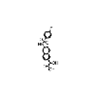 O=C(O)C(O)c1ccc2c(c1)CCC(NS(=O)(=O)c1ccc(F)cc1)C2